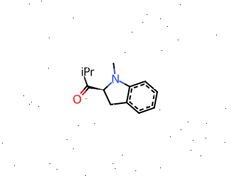 CC(C)C(=O)[C@@H]1Cc2ccccc2N1C